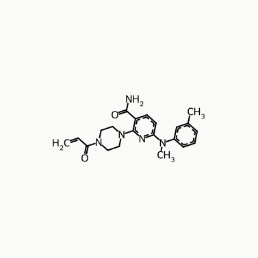 C=CC(=O)N1CCN(c2nc(N(C)c3cccc(C)c3)ccc2C(N)=O)CC1